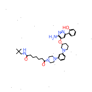 CC(C)(C)CNC(=O)CCCCCC(=O)N1CCN(c2cccc(N3CCCC(Oc4cc(-c5ccccc5O)nnc4N)C3)c2)CC1